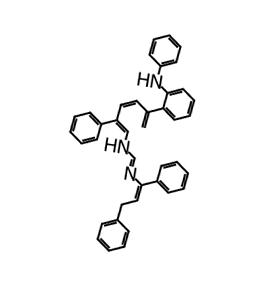 C=C(/C=C\C(=C\N/C=N/C(=C\Cc1ccccc1)c1ccccc1)c1ccccc1)c1ccccc1Nc1ccccc1